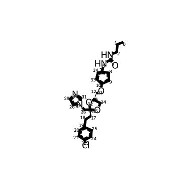 CCCNC(=O)Nc1ccc(OC[C@@H]2CO[C@](CCc3ccc(Cl)cc3)(Cn3ccnc3)O2)cc1